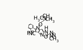 Cn1ncnc1C(=O)Nc1cc2c(cn1)c(C#N)c(-c1ccccc1C(F)F)n2COCC[Si](C)(C)C